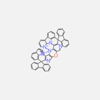 c1ccc2c(c1)-c1ccccc1C21c2ncc3c4c2-n2c5c1cccc5c1ccc[n+](c12)[N+]41c2c(cnc4c2-n2c5c(cccc5c5ccc[n+]1c52)C41c2ccccc2-c2ccccc21)O3